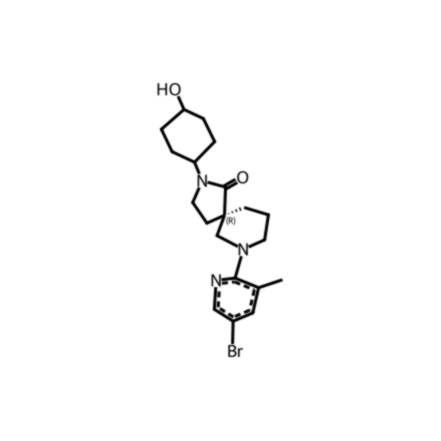 Cc1cc(Br)cnc1N1CCC[C@@]2(CCN(C3CCC(O)CC3)C2=O)C1